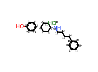 Cl.Oc1ccc([C@H]2CC[C@@H](NCCCCc3ccccc3)CC2)cc1